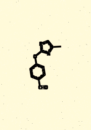 Cc1csc(Oc2ccc(C=O)cc2)n1